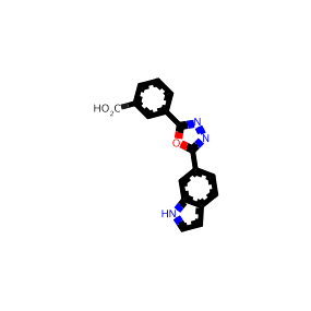 O=C(O)c1cccc(-c2nnc(-c3ccc4cc[nH]c4c3)o2)c1